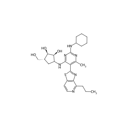 CCCc1nccc2sc(-c3c(C)nc(NC4CCCCC4)nc3NC3C[C@H](CO)[C@@H](O)[C@H]3O)nc12